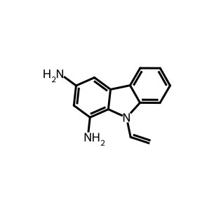 C=Cn1c2ccccc2c2cc(N)cc(N)c21